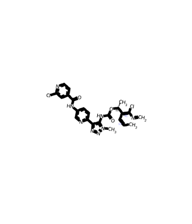 C=N/C(Cl)=C(\C=C/C)[C@@H](C)OC(=O)Nc1c(-c2ccc(NC(=O)c3ccnc(Cl)c3)cn2)nnn1C